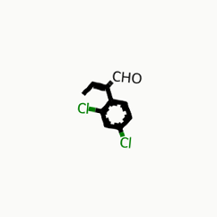 C/C=C(/C=O)c1ccc(Cl)cc1Cl